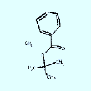 C.CC(C)(C)OC(=O)c1ccccc1